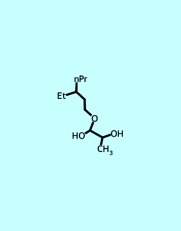 CCCC(CC)CCOC(O)C(C)O